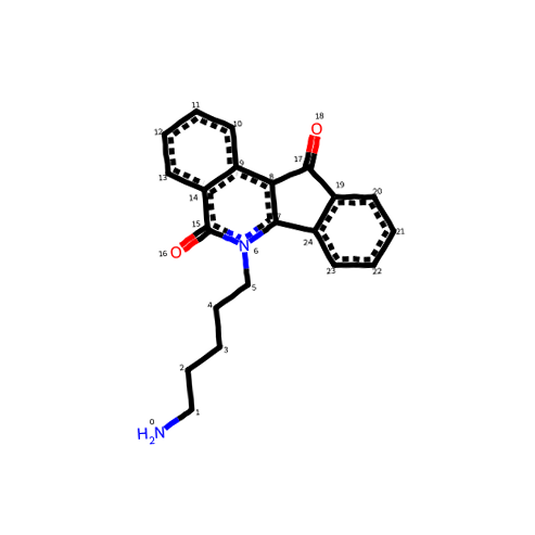 NCCCCCn1c2c(c3ccccc3c1=O)C(=O)c1ccccc1-2